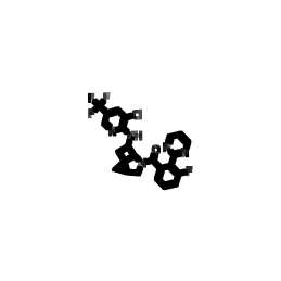 O=C(c1cccc(F)c1-c1ncccn1)N1CC2CC23CC(Nc2ncc(C(F)(F)F)cc2Cl)C13